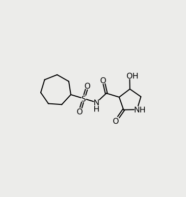 O=C1NCC(O)C1C(=O)NS(=O)(=O)C1CCCCCC1